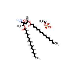 CCCCCCCCCCCCCCCC(=O)OC(C)CC(O)(CN)C(C)OC(=O)CCCCCCCCCCCCCCC.CCOS(=O)(=O)O